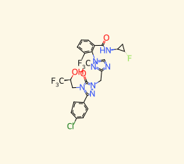 O=C(N[C@H]1C[C@@H]1F)c1cccc(C(F)(F)F)c1-n1cnc(Cn2nc(-c3ccc(Cl)cc3)n(C[C@H](O)C(F)(F)F)c2=O)n1